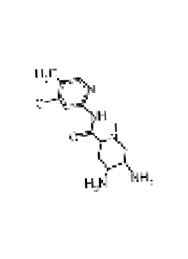 Cc1cnc(NC(=O)C2CC(N)C(N)CN2)cc1Cl